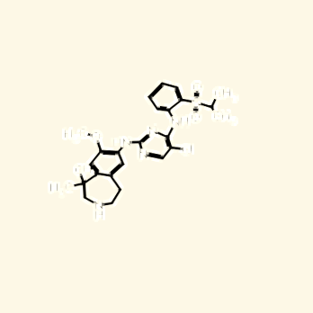 COc1cc2c(cc1Nc1ncc(Cl)c(Nc3ccccc3S(=O)(=O)C(C)C)n1)CCNCC2(C)C